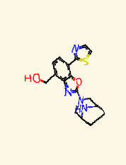 OCc1ccc(-c2nccs2)c2oc(N3CC4CCC(C3)N4)nc12